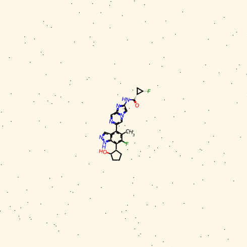 Cc1c(F)c(C2CCCC2O)c2[nH]ncc2c1-c1cn2cc(NC(=O)[C@@H]3C[C@@H]3F)nc2cn1